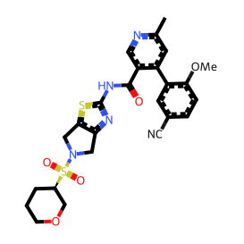 COc1ccc(C#N)cc1-c1cc(C)ncc1C(=O)Nc1nc2c(s1)CN(S(=O)(=O)[C@@H]1CCCOC1)C2